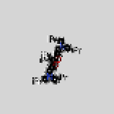 CC(C)c1ccc(N(c2cccc(C(C)C)c2)c2ccc3cc4c(cc3c2)oc2c3oc5cc6cc(N(c7ccc(C(C)C)cc7)c7cccc(C(C)C)c7)ccc6cc5c3c(C(C)C)c(C(C)C)c42)cc1